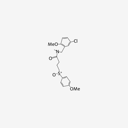 COc1ccc([S+]([O-])CCCC(=O)N(C)Cc2cc(Cl)ccc2OC)cc1